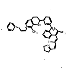 CCC(/C=C\C1=NCCC1)=C\C(=C(N)N)c1ccccc1Cc1cccc(C2CCc3ccc(/C=C\Cc4ccccc4)c(C)c3N2)c1